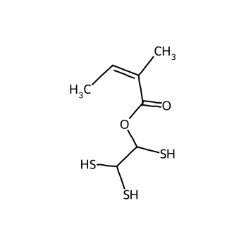 CC=C(C)C(=O)OC(S)C(S)S